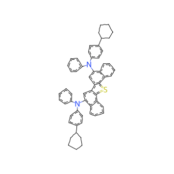 c1ccc(N(c2ccc(C3CCCCC3)cc2)c2cc3c4cc(N(c5ccccc5)c5ccc(C6CCCCC6)cc5)c5ccccc5c4sc3c3ccccc23)cc1